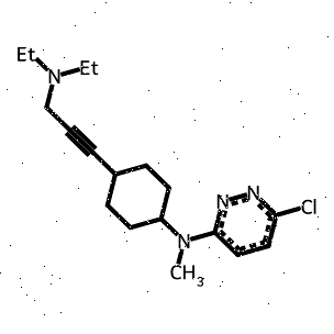 CCN(CC)CC#CC1CCC(N(C)c2ccc(Cl)nn2)CC1